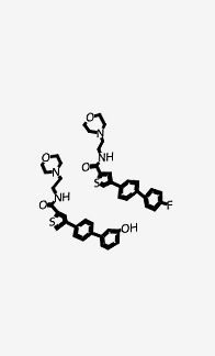 O=C(NCCN1CCOCC1)c1cc(-c2ccc(-c3ccc(F)cc3)cc2)cs1.O=C(NCCN1CCOCC1)c1cc(-c2ccc(-c3cccc(O)c3)cc2)cs1